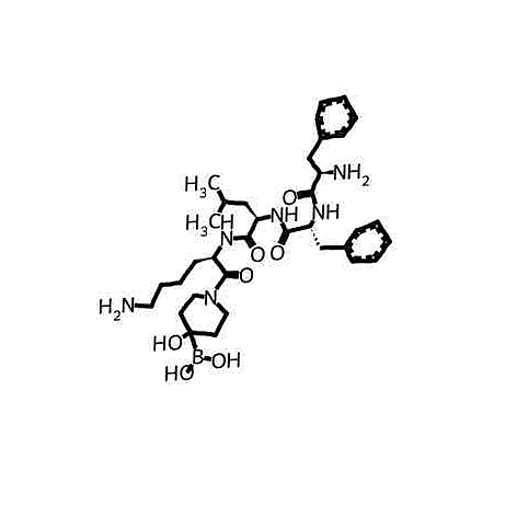 CC(C)C[C@@H](NC(=O)[C@@H](Cc1ccccc1)NC(=O)[C@H](N)Cc1ccccc1)C(=O)N[C@H](CCCCN)C(=O)N1CCC(O)(B(O)O)CC1